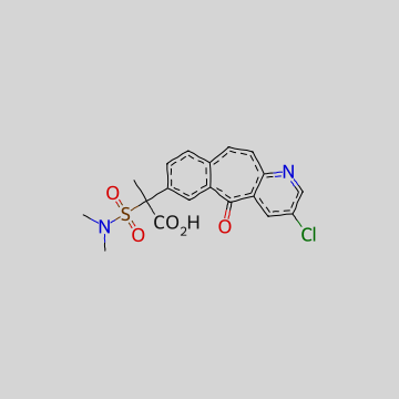 CN(C)S(=O)(=O)C(C)(C(=O)O)c1ccc2ccc3ncc(Cl)cc3c(=O)c2c1